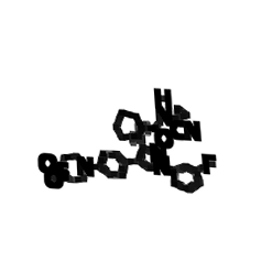 N#CC1(NC(=O)[C@@H]2CCCC[C@H]2c2nn(-c3cccc(F)c3)cc2-c2ccc(N3CCS(=O)(=O)CC3)cc2)CC1